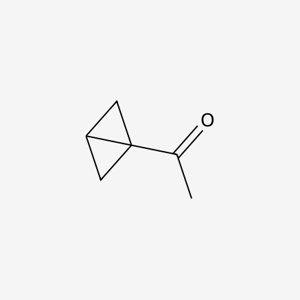 CC(=O)C12CC1C2